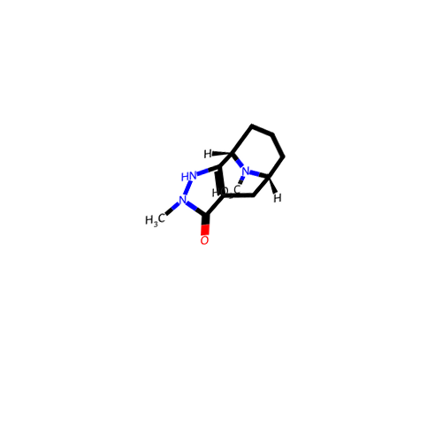 Cn1[nH]c2c(c1=O)C[C@H]1CCC[C@@H]2N1C(=O)O